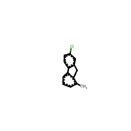 Cc1cccc2c1Cc1cc(Cl)ccc1-2